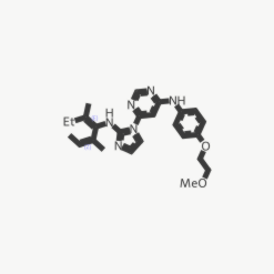 C/C=C(C)\C(Nc1nccn1-c1cc(Nc2ccc(OCCOC)cc2)ncn1)=C(\C)CC